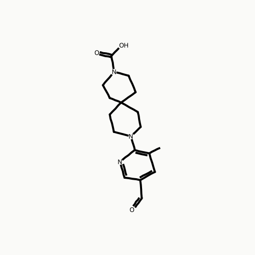 Cc1cc(C=O)cnc1N1CCC2(CCN(C(=O)O)CC2)CC1